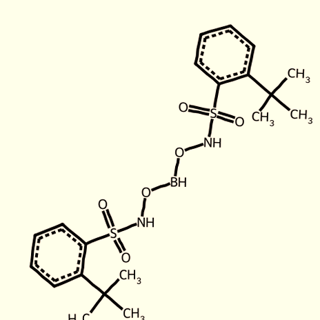 CC(C)(C)c1ccccc1S(=O)(=O)NOBONS(=O)(=O)c1ccccc1C(C)(C)C